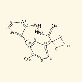 O=C(NNc1nccnc1Cl)C1(c2ccc(Cl)cc2)CCC1